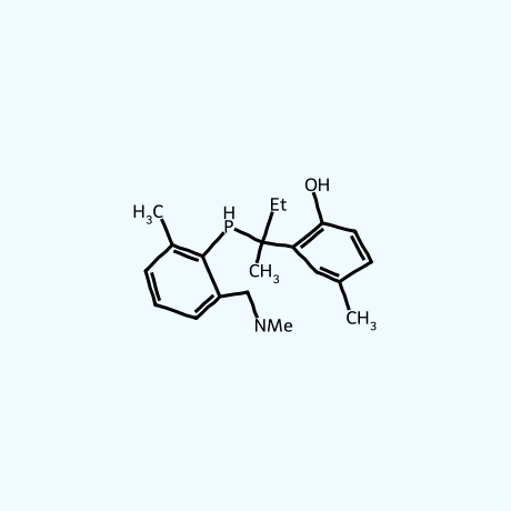 CCC(C)(Pc1c(C)cccc1CNC)c1cc(C)ccc1O